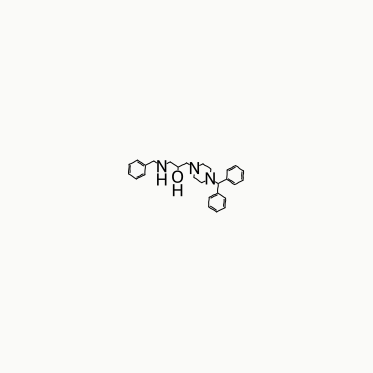 OC(CNCc1ccccc1)CN1CCN(C(c2ccccc2)c2ccccc2)CC1